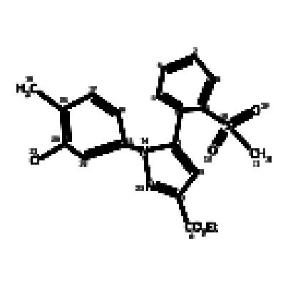 CCOC(=O)c1cc(-c2ccccc2S(C)(=O)=O)n(-c2ccc(C)c(Cl)c2)n1